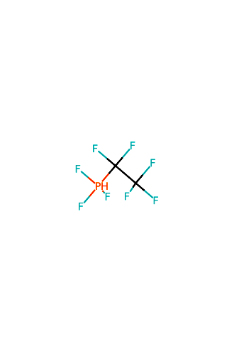 FC(F)(F)C(F)(F)[PH](F)(F)F